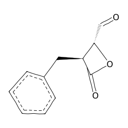 O=C[C@@H]1OC(=O)[C@H]1Cc1ccccc1